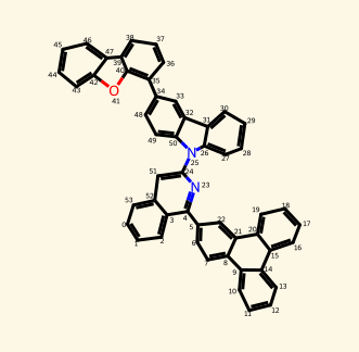 c1ccc2c(-c3ccc4c5ccccc5c5ccccc5c4c3)nc(-n3c4ccccc4c4cc(-c5cccc6c5oc5ccccc56)ccc43)cc2c1